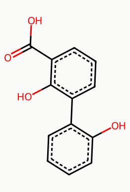 O=C(O)c1cccc(-c2ccccc2O)c1O